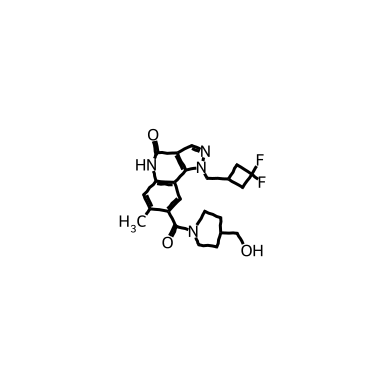 Cc1cc2[nH]c(=O)c3cnn(CC4CC(F)(F)C4)c3c2cc1C(=O)N1CCC(CO)CC1